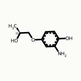 C[C@H](O)COc1ccc(O)c(N)c1